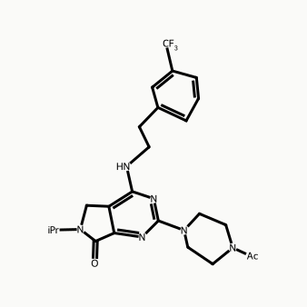 CC(=O)N1CCN(c2nc(NCCc3cccc(C(F)(F)F)c3)c3c(n2)C(=O)N(C(C)C)C3)CC1